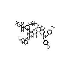 COc1ccc(CN(Cc2ccc(OC)cc2)c2cc(C)c(C(F)(F)F)c(-c3ncc4c(N5CC(O[Si](C)(C)C(C)(C)C)C[C@H](NC(=O)OC(C)(C)C)C5)nc(OC[C@@]56CCCN5C[C@H](F)C6)nc4c3F)n2)cc1